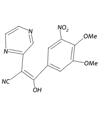 COc1cc(C(O)=C(C#N)c2cnccn2)cc([N+](=O)[O-])c1OC